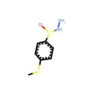 CSc1ccc([S+]([O-])NN)cc1